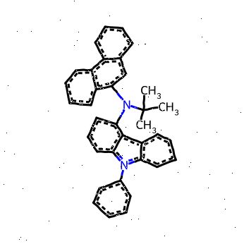 CC(C)(C)N(c1cc2ccccc2c2ccccc12)c1cccc2c1c1ccccc1n2-c1ccccc1